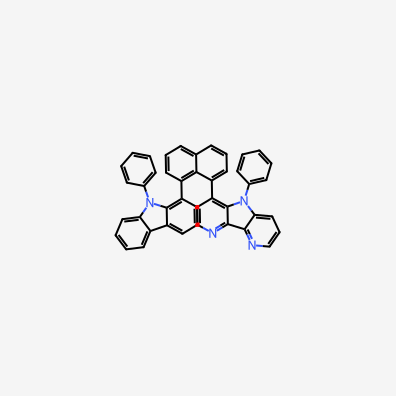 c1ccc(-n2c3ccccc3c3cccc(-c4cccc5cccc(-c6ccnc7c8ncccc8n(-c8ccccc8)c67)c45)c32)cc1